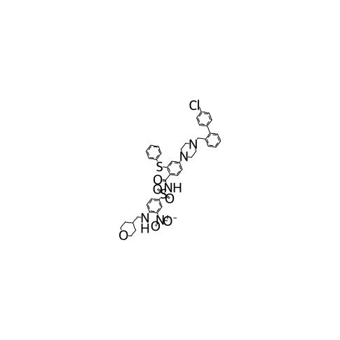 O=C(NS(=O)(=O)c1ccc(NCC2CCOCC2)c([N+](=O)[O-])c1)c1ccc(N2CCN(Cc3ccccc3-c3ccc(Cl)cc3)CC2)cc1Sc1ccccc1